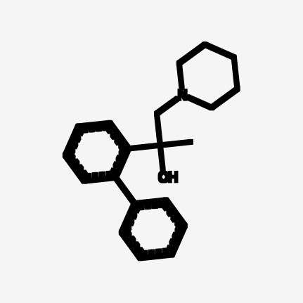 CC(O)(CN1CCCCC1)c1ccccc1-c1ccccc1